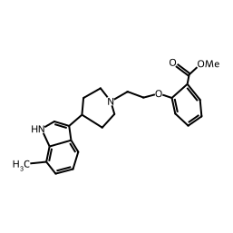 COC(=O)c1ccccc1OCCN1CCC(c2c[nH]c3c(C)cccc23)CC1